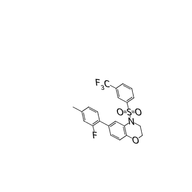 Cc1ccc(-c2ccc3c(c2)N(S(=O)(=O)c2cccc(C(F)(F)F)c2)CCO3)c(F)c1